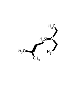 CCN(CC)[SiH2]CC=C(C)C